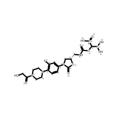 O=C(CO)N1CCN(c2ccc(N3C[C@H](CNC(=S)OC(P(O)O)[PH](=O)O)OC3=O)cc2F)CC1